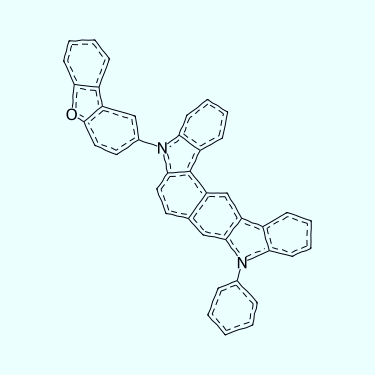 c1ccc(-n2c3ccccc3c3cc4c(ccc5c4c4ccccc4n5-c4ccc5oc6ccccc6c5c4)cc32)cc1